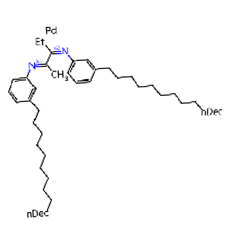 CCCCCCCCCCCCCCCCCCCc1cccc(/N=C(CC)\C(C)=N\c2cccc(CCCCCCCCCCCCCCCCCCC)c2)c1.[Pd]